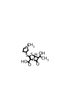 CC(O)C1C(=O)N2C(C(=O)O)=C(SC3CCN(C)C3)S[C@H]12